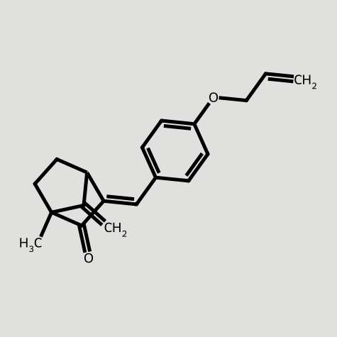 C=CCOc1ccc(/C=C2/C(=O)C3(C)CCC2C3=C)cc1